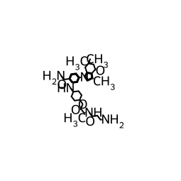 Cc1cn(-c2ccc(C(N)=O)c(NC3CCC(OC(=O)C(C)NC(=O)CCN)CC3)c2)c2c1C(=O)CC(C)(C)C2